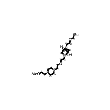 COCCN1CCN(CCOCCN2C[C@@H]3C[C@H]2CN3CCOCC(C)(C)C)CC1